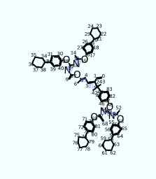 C=C/C(=C\C=C(/C)OC(=C)/N=C(\N=C(/C)Oc1ccc(C2CCCCC2)cc1)Oc1ccc(C2CCCCC2)cc1)C(C)(C)c1ccc(OC(/N=C(\C)Oc2ccc(C3CCCCC3)cc2)=N/C(=C)Oc2ccc(C3CCCCC3)cc2)cc1